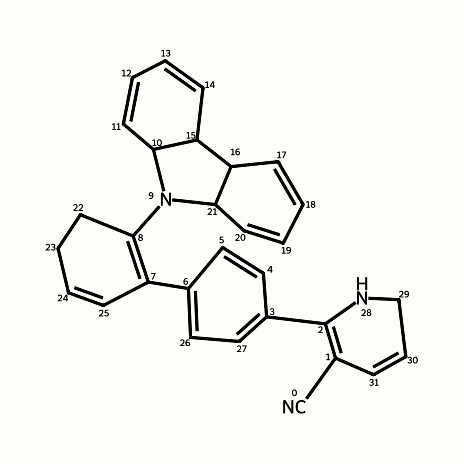 N#CC1=C(c2ccc(C3=C(N4C5C=CC=CC5C5C=CC=CC54)CCC=C3)cc2)NCC=C1